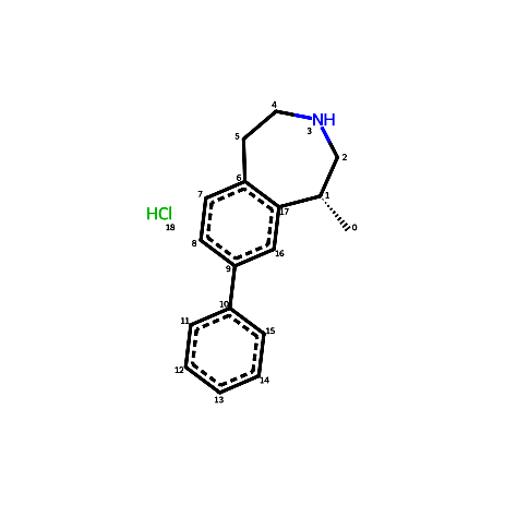 C[C@H]1CNCCc2ccc(-c3ccccc3)cc21.Cl